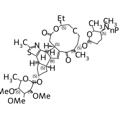 CCCN(C)[C@H]1CC[C@H](O[C@H]2CCC[C@H](CC)OC(=O)C[C@@H]3C(=C[C@H]4[C@@H]5C[C@H](O[C@@H]6OC(C)[C@H](OC)C(OC)[C@@H]6OC)C[C@H]5c5sc(C)nc5[C@H]43)C(=O)[C@@H]2C)OC1C